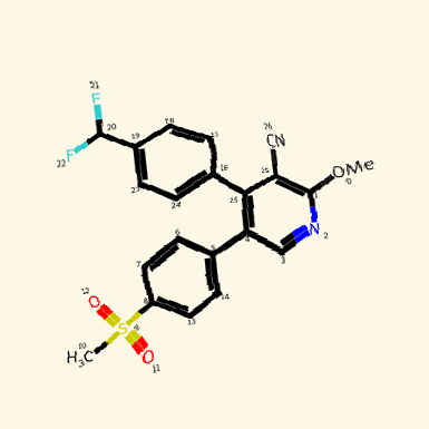 COc1ncc(-c2ccc(S(C)(=O)=O)cc2)c(-c2ccc(C(F)F)cc2)c1C#N